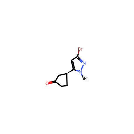 CC(C)n1nc(Br)cc1[C@H]1CCC(=O)C1